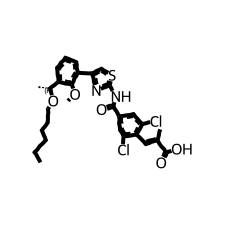 CCCCCCO[C@H](C)c1cccc(-c2csc(NC(=O)c3cc(Cl)c(C=C(C)C(=O)O)c(Cl)c3)n2)c1OC